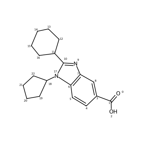 O=C(O)c1ccc2c(c1)nc(C1CCCCC1)n2C1CCCC1